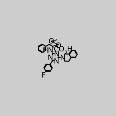 CS(=O)(=O)[C@@](Cc1ccccc1)(Nc1nc(-c2ccc(F)cc2)nc(N2CCc3ccccc3C2)n1)C(=O)O